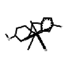 COC1CCC2(CC1)Cc1ccc(F)cc1C21NC(=O)N(C)C1=O